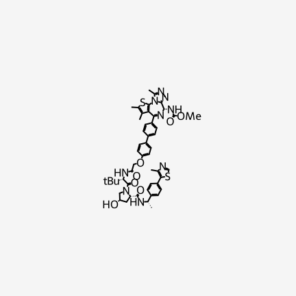 COC(=O)N[C@@H]1N=C(c2ccc(-c3ccc(OCC(=O)N[C@H](C(=O)N4C[C@H](O)C[C@H]4C(=O)N[C@@H](C)c4ccc(-c5scnc5C)cc4)C(C)(C)C)cc3)cc2)c2c(sc(C)c2C)-n2c(C)nnc21